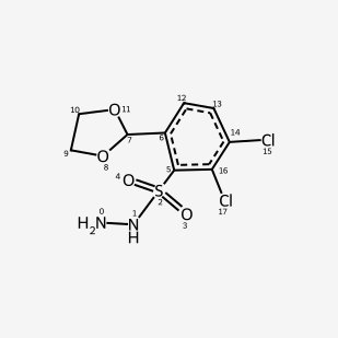 NNS(=O)(=O)c1c(C2OCCO2)ccc(Cl)c1Cl